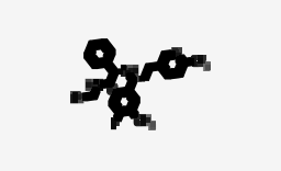 Cc1cc([C@@H](CCc2ccc(C(F)(F)F)nc2)N[C@H](C(=O)NCC(C)C)c2ccccc2)ccc1F